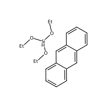 CCO[SiH](OCC)OCC.c1ccc2cc3ccccc3cc2c1